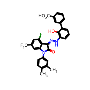 Cc1ccc(N2C(=O)C(=NNc3cccc(-c4cccc(C(=O)O)c4)c3O)c3c(F)cc(C(F)(F)F)cc32)cc1C